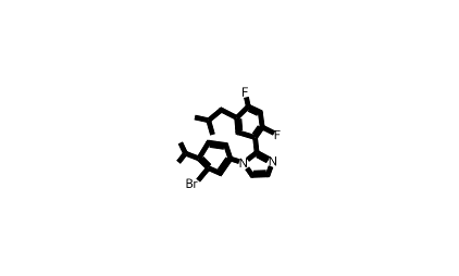 CC(C)Cc1cc(-c2nccn2-c2ccc(C(C)C)c(Br)c2)c(F)cc1F